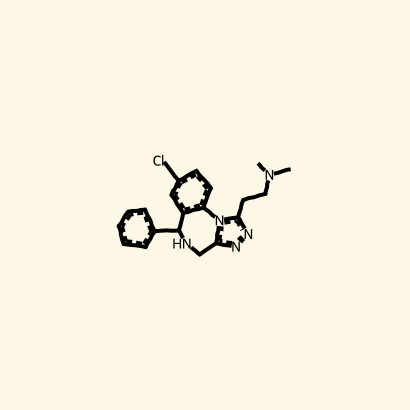 CN(C)CCc1nnc2n1-c1ccc(Cl)cc1C(c1ccccc1)NC2